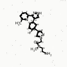 Cc1cccc(-c2n[nH]cc2-c2ccc(F)c(-c3cnn(CC(=O)N(C)CCN)c3)c2)n1